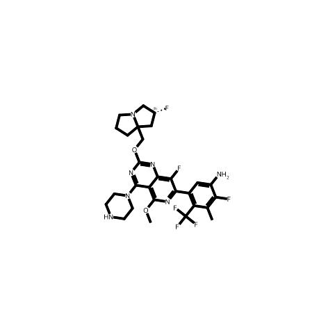 COc1nc(-c2cc(N)c(F)c(C)c2C(F)(F)F)c(F)c2nc(OCC34CCCN3C[C@H](F)C4)nc(N3CCNCC3)c12